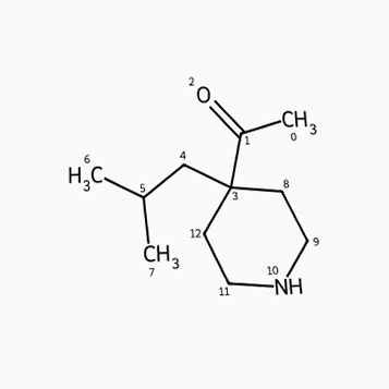 CC(=O)C1(CC(C)C)CCNCC1